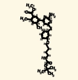 COC(=O)c1cc(-c2cc(Sc3cccc(OCCCCNC(=O)OC(C)(C)C)c3)nc(N)n2)c(C)cc1C